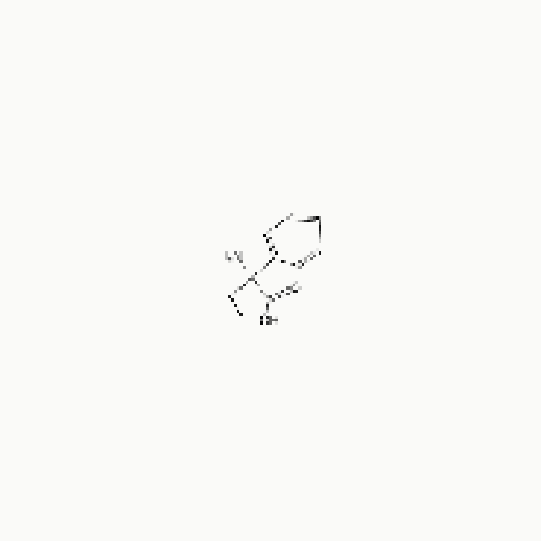 CC[C@](N)(C(=O)O)c1ccccc1